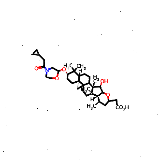 C[C@@H]1CC(CC(=O)O)OC2[C@H]1[C@@]1(C)CCC34C[C@@]35CC[C@H](OC3CN(C(=O)CC6CC6)CCO3)C(C)(C)[C@@H]5CCC4[C@]1(C)[C@H]2O